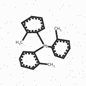 Cc1cccc[c]1[Pb]([c]1ccccc1C)[c]1ccccc1C